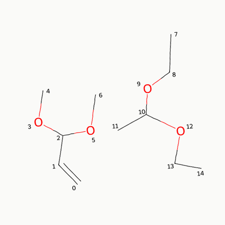 C=CC(OC)OC.CCOC(C)OCC